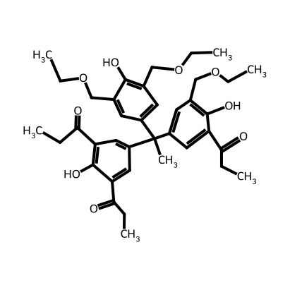 CCOCc1cc(C(C)(c2cc(COCC)c(O)c(C(=O)CC)c2)c2cc(C(=O)CC)c(O)c(C(=O)CC)c2)cc(COCC)c1O